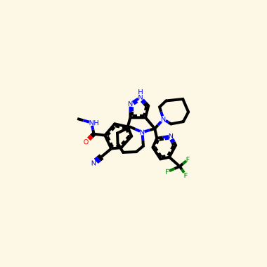 CNC(=O)c1cc(-c2n[nH]cc2C(c2ccc(C(F)(F)F)cn2)(N2CCCCCC2)N2CCCCCC2)ccc1C#N